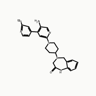 CC(C)(C)c1cc(-c2cc(N3CCC(N4CC(=O)Nc5ccccc5C4)CC3)ncc2N)ccn1